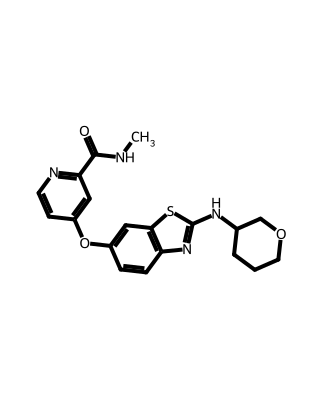 CNC(=O)c1cc(Oc2ccc3nc(NC4CCCOC4)sc3c2)ccn1